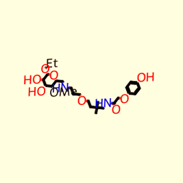 CCOC1OC(CNCCCOCCC(C)(C)CNC(=O)COc2ccc(O)cc2)C(OC)C(O)C1O